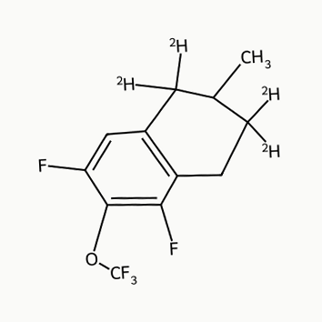 [2H]C1([2H])Cc2c(cc(F)c(OC(F)(F)F)c2F)C([2H])([2H])C1C